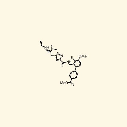 C=CN/C=C(/Cn1cc(C(=O)NCc2c(-c3ccc(C(=O)OC)cc3)ccc(OC)c2F)nn1)N(C)C